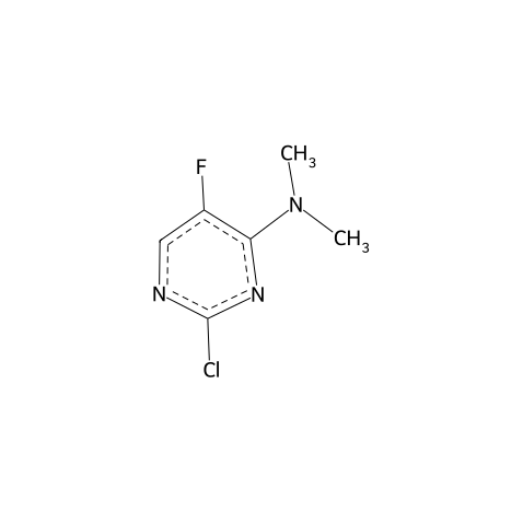 CN(C)c1nc(Cl)ncc1F